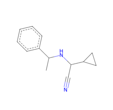 CC(NC(C#N)C1CC1)c1ccccc1